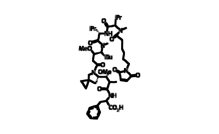 CC[C@H](C)[C@@H](C(CC(=O)N1CC2(CC2)C[C@H]1[C@H](OC)C(C)C(=O)NC(Cc1ccccc1)C(=O)O)OC)N(C)C(=O)[C@@H](NC(=O)C(C(C)C)N(C)C(=O)CCCCCN1C(=O)C=CC1=O)C(C)C